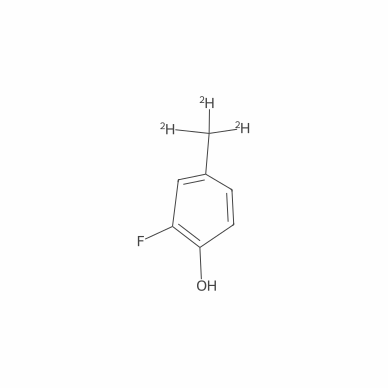 [2H]C([2H])([2H])c1ccc(O)c(F)c1